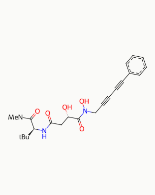 CNC(=O)[C@@H](NC(=O)C[C@H](O)C(=O)N(O)CC#CC#Cc1ccccc1)C(C)(C)C